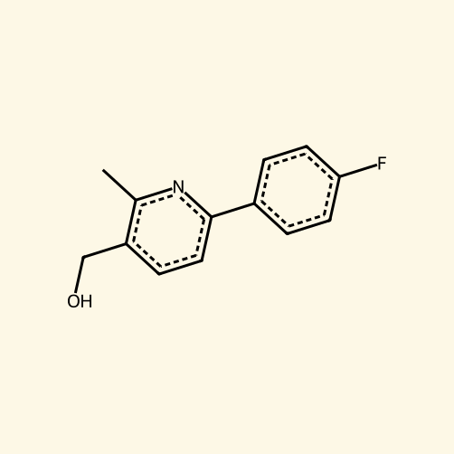 Cc1nc(-c2ccc(F)cc2)ccc1CO